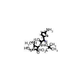 CN(S)C1C(NC(=O)/C(=N\OC(C)(C)C(=O)O)C2=CCC(N)=N2)C(=O)N1SO